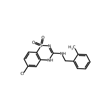 Cc1ccccc1CNC1=NS(=O)(=O)c2ccc(Cl)cc2N1